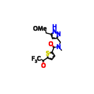 COCc1cc(CN(C)C(=O)c2ccc(C(=O)C(F)(F)F)s2)n[nH]1